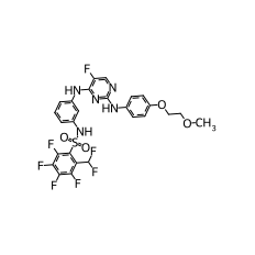 COCCOc1ccc(Nc2ncc(F)c(Nc3cccc(NS(=O)(=O)c4c(F)c(F)c(F)c(F)c4C(F)F)c3)n2)cc1